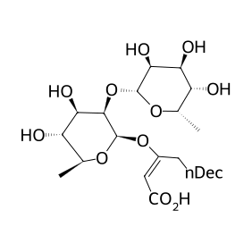 CCCCCCCCCCCC(=CC(=O)O)O[C@H]1O[C@@H](C)[C@H](O)[C@@H](O)[C@H]1O[C@H]1O[C@@H](C)[C@@H](O)[C@H](O)[C@@H]1O